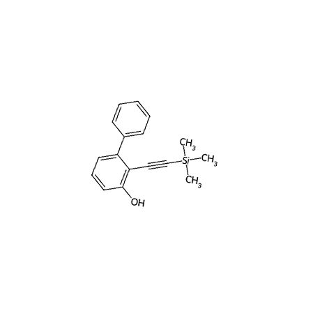 C[Si](C)(C)C#Cc1c(O)cccc1-c1ccccc1